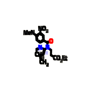 C=C/C=C(\N=C/C)N(CCC(=O)OCC)C(=O)c1ccc(NC)c([N+](=O)[O-])c1